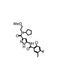 COCCN(C(=O)c1cc(NC(=O)c2cc(F)c(F)cc2Cl)[nH]n1)C1CCCC1